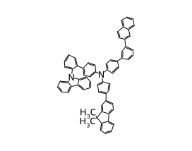 CC1(C)c2ccccc2-c2ccc(-c3ccc(N(c4ccc(-c5cccc(-c6ccc7ccccc7c6)c5)cc4)c4ccc(-c5ccccc5-n5c6ccccc6c6ccccc65)cc4)cc3)cc21